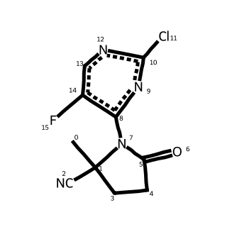 CC1(C#N)CCC(=O)N1c1nc(Cl)ncc1F